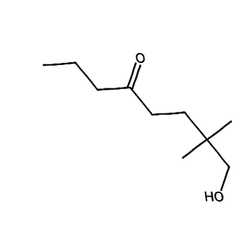 CCCC(=O)CCC(C)(C)CO